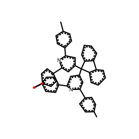 Cc1ccc(-c2cc(C3(c4cc(-c5ccc(C)cc5)nc(-c5ccc(C)cc5)c4)c4ccccc4-c4ccccc43)cc(-c3ccc(C)cc3)n2)cc1